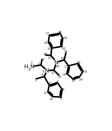 CC(N)N(C(C)c1ccccc1)C(C)N(C(C)c1ccccc1)C(C)c1ccccc1